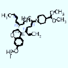 C=C/C(=C\C=C/C)[C@H]1COc2cc(OPI)ccc2[C@H]1/C(C=C)=C/C=C(\C)N1CCC(C(OC)OC)CC1